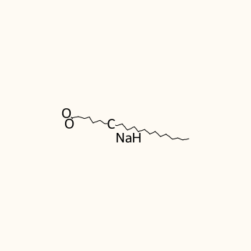 CCCCCCCCCCCCCCCCCCCCCC(=O)OC.[NaH]